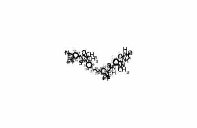 Cn1nc(N2CCC(=O)NC2=O)c2cccc(NC(=O)CN3CCN(CCC[C@H]4CC[C@H](N5C(=S)N(c6ccc(C#N)c(C(F)(F)F)c6)C(=O)C5(C)C)CC4)CC3C(F)(F)F)c21